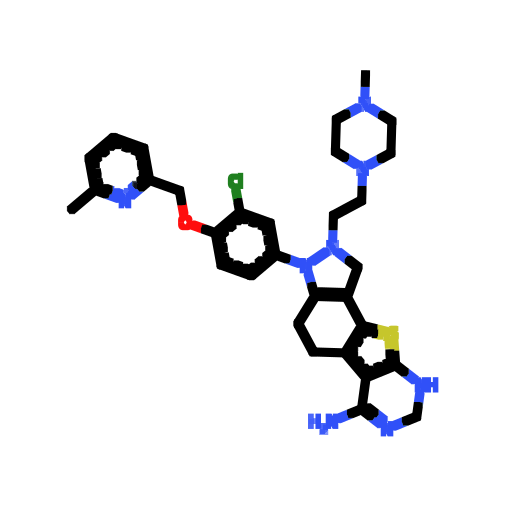 Cc1cccc(COc2ccc(N3C4=C(CN3CCN3CCN(C)CC3)c3sc5c(c3CC4)C(N)=NCN5)cc2Cl)n1